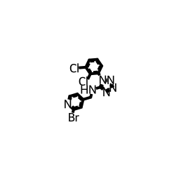 Clc1cccc(-n2nnnc2NCc2ccnc(Br)c2)c1Cl